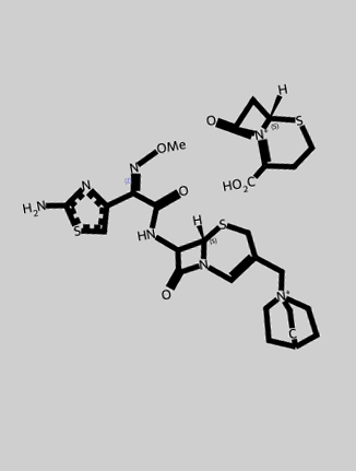 CO/N=C(\C(=O)NC1C(=O)N2C=C(C[N+]34CCC(CC3)CC4)CS[C@@H]12)c1csc(N)n1.O=C(O)C1=[N+]2C(=O)C[C@@H]2SCC1